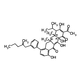 C=C(CCC)Cc1cccc(-c2ccc(O)c3c2C[C@]2(C)C[C@]4(C)C(C(C)C)C(O)=C(C(C)=O)C(=O)[C@]4(O)C(O)=C2C3=O)c1